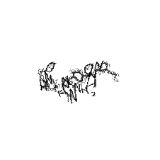 Nc1ncc(F)n2c([C@@H]3CC[C@H]4CCC(=O)N4C3)nc(-c3ccc(C(=O)Nc4cc(C5CC5)ccn4)cc3)c12